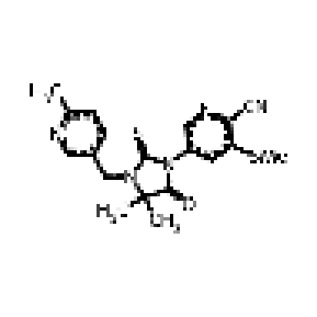 CSc1cc(N2C(=O)C(C)(C)N(Cc3ccc(C)nc3)C2=S)cnc1C#N